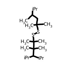 CC(C)C(C)CC(C)(C)SSC(C)(C)C(C)(C)C(C(C)C)C(C)C